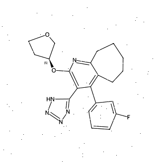 Fc1cccc(-c2c3c(nc(O[C@H]4CCOC4)c2-c2nnn[nH]2)CCCCC3)c1